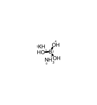 N.OB(O)O.[KH]